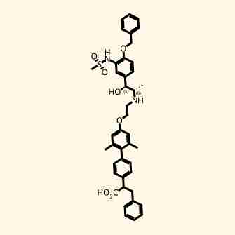 Cc1cc(OCCN[C@@H](C)[C@@H](O)c2ccc(OCc3ccccc3)c(NS(C)(=O)=O)c2)cc(C)c1-c1ccc(C(Cc2ccccc2)C(=O)O)cc1